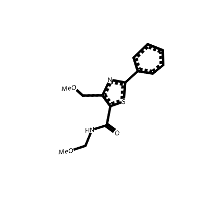 COCNC(=O)c1sc(-c2ccccc2)nc1COC